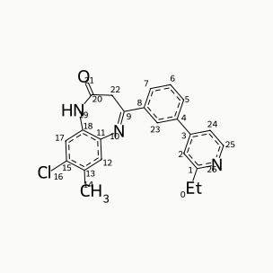 CCc1cc(-c2cccc(C3=Nc4cc(C)c(Cl)cc4NC(=O)C3)c2)ccn1